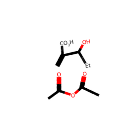 C=C(C(=O)O)C(O)CC.CC(=O)OC(C)=O